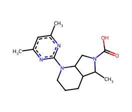 Cc1cc(C)nc(N2CCCC3C(C)N(C(=O)O)CC32)n1